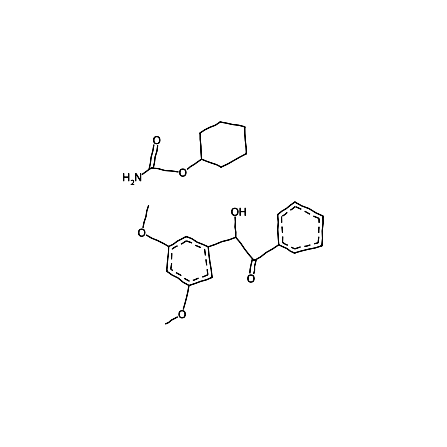 COc1cc(OC)cc(C(O)C(=O)c2ccccc2)c1.NC(=O)OC1CCCCC1